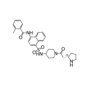 Cc1ccccc1C(=O)Nc1ccc(S(=O)(=O)NC2CCN(C(=O)C[C@@H]3CCCN3)CC2)c2ccccc12